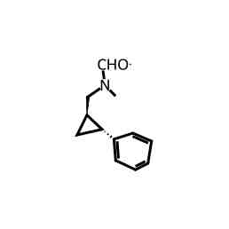 CN([C]=O)C[C@@H]1C[C@H]1c1ccccc1